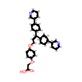 O=C(O)COc1ccc(OCC=C(c2ccc(-c3cccnc3)cc2)c2ccc(-c3cccnc3)cc2)cc1